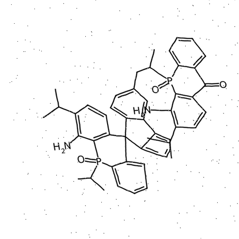 CC(C)c1ccc2c(c1N)P(=O)(C(C)C)c1ccccc1C21c2ccccc2-c2cc(CC(C)P3(=O)c4ccccc4C(=O)c4ccc(C(C)C)c(N)c43)ccc21